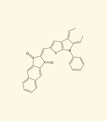 C/C=c1\c(=C/C)n(-c2ccccc2)c2sc(C=C3C(=O)c4cc5ccccc5cc4C3=O)cc12